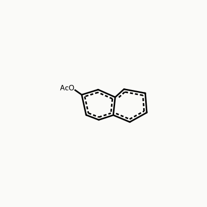 CC(=O)Oc1ccc2ccccc2c1